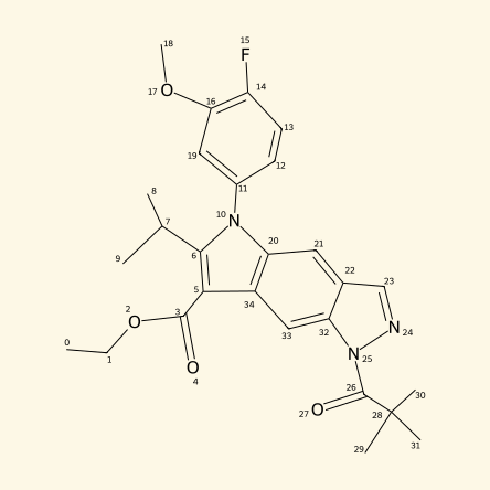 CCOC(=O)c1c(C(C)C)n(-c2ccc(F)c(OC)c2)c2cc3cnn(C(=O)C(C)(C)C)c3cc12